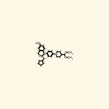 COC(OC)C1CCN(c2ccc([C@@H]3c4ccc(O)cc4CO[C@@H]3CC3CCCC3)cc2)CC1